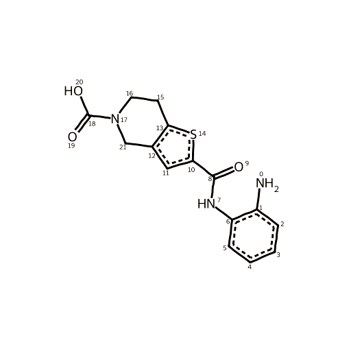 Nc1ccccc1NC(=O)c1cc2c(s1)CCN(C(=O)O)C2